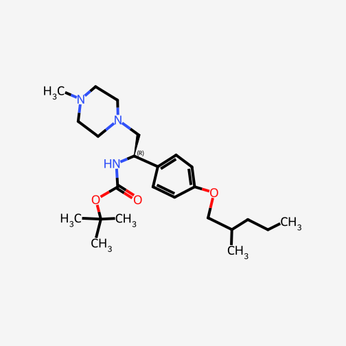 CCCC(C)COc1ccc([C@H](CN2CCN(C)CC2)NC(=O)OC(C)(C)C)cc1